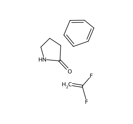 C=C(F)F.O=C1CCCN1.c1ccccc1